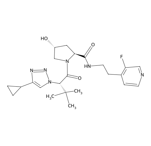 CC(C)(C)[C@@H](C(=O)N1C[C@H](O)C[C@H]1C(=O)NCCc1ccncc1F)n1cc(C2CC2)nn1